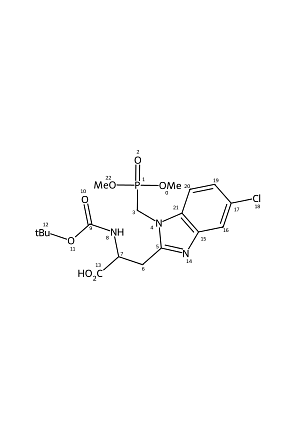 COP(=O)(Cn1c(CC(NC(=O)OC(C)(C)C)C(=O)O)nc2cc(Cl)ccc21)OC